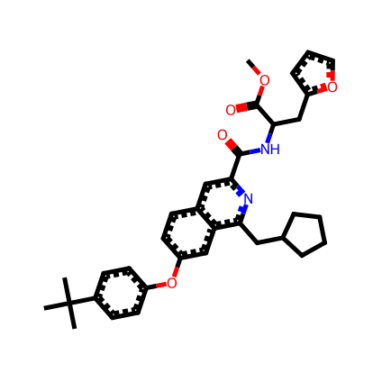 COC(=O)C(Cc1ccco1)NC(=O)c1cc2ccc(Oc3ccc(C(C)(C)C)cc3)cc2c(CC2CCCC2)n1